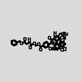 COc1cc(C(=O)OCOC(=O)NCC(=O)OCc2ccccc2)ccc1NC(=O)[C@@H]1N[C@@H](CC(C)(C)C)[C@](C#N)(c2ccc(Cl)cc2F)C1c1cccc(Cl)c1F